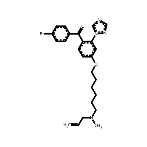 C=CCN(C)CCCCCCOc1ccc(C(=O)c2ccc(Br)cc2)c(-n2cncn2)c1